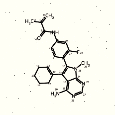 C=C(C)C(=O)Nc1ccc(-c2c(C3=CCCCC3)c3c(N)ncnc3n2C)c(F)c1